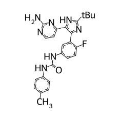 Cc1ccc(NC(=O)Nc2ccc(F)c(-c3nc(C(C)(C)C)[nH]c3-c3ccnc(N)n3)c2)cc1